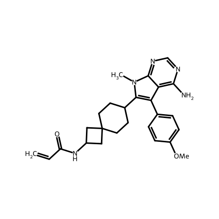 C=CC(=O)NC1CC2(CCC(c3c(-c4ccc(OC)cc4)c4c(N)ncnc4n3C)CC2)C1